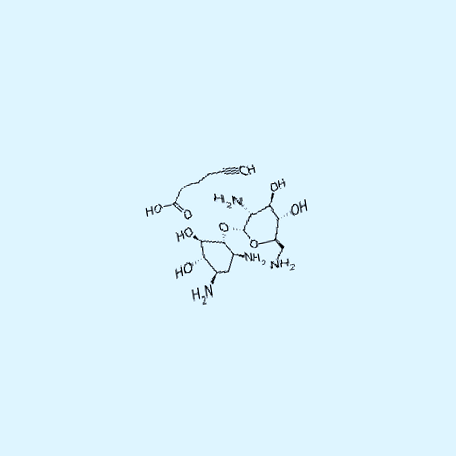 C#CCCCC(=O)O.NC[C@H]1O[C@H](O[C@H]2[C@H](O)[C@@H](O)[C@H](N)C[C@@H]2N)[C@H](N)[C@@H](O)[C@@H]1O